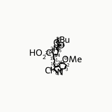 COc1ccc2ncc(Cl)c(CCCC3CCN(C(=O)OC(C)(C)C)CC3C(=O)O)c2c1